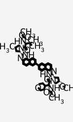 COC[C@H]1C[C@@H](c2nc3ccc4cc(-c5ccc6c(ccc7nc([C@@H]8C[C@H](C)CN8C(=O)[C@@H](NC(=O)OC)C(C)C)[nH]c76)c5)ccc4c3[nH]2)N(C(=O)[C@@H](NC(=O)OC)C2CCOCC2)C1